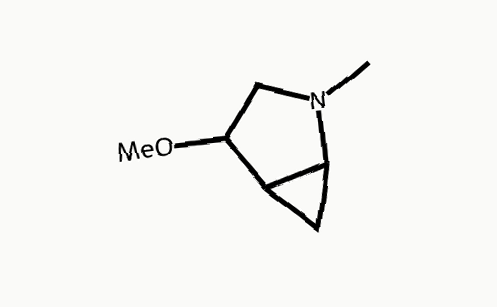 COC1CN(C)C2CC12